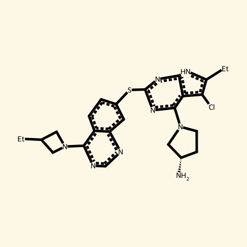 CCc1[nH]c2nc(Sc3ccc4c(N5CC(CC)C5)ncnc4c3)nc(N3CC[C@H](N)C3)c2c1Cl